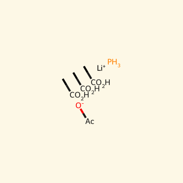 CC(=O)O.CC(=O)O.CC(=O)O.CC(=O)[O-].P.[Li+]